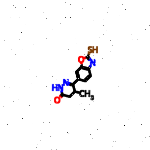 CC1CC(=O)NN=C1c1ccc2nc(S)oc2c1